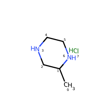 CC1CNCCN1.Cl